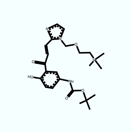 CC(C)(C)OC(=O)Nc1ccc(O)c(C(=O)/C=C/c2nccn2COCC[Si](C)(C)C)c1